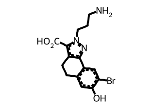 NCCCn1nc2c(c1C(=O)O)CCc1cc(O)c(Br)cc1-2